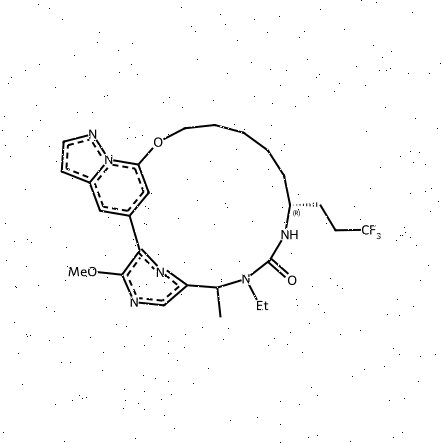 CCN1C(=O)N[C@@H](CCC(F)(F)F)CCCCCOc2cc(cc3ccnn23)-c2nc(cnc2OC)C1C